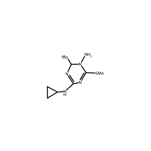 CSC1=NC(NC2CC2)=NC(C(C)(C)C)N1N